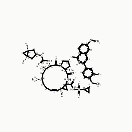 COc1ccc2c(O[C@@H]3C[C@H]4C(=O)N[C@]5(C(=O)NS(=O)(=O)C6CC6)C[C@H]5/C=C\CC[C@@H](C)C[C@@H](C)[C@H](NC(=O)O[C@@H]5C[C@@H]6C[C@@H]6C5)C(=O)N4C3)nc(-c3ccc(OC)c(F)c3)cc2c1